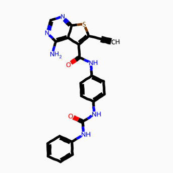 C#Cc1sc2ncnc(N)c2c1C(=O)Nc1ccc(NC(=O)Nc2ccccc2)cc1